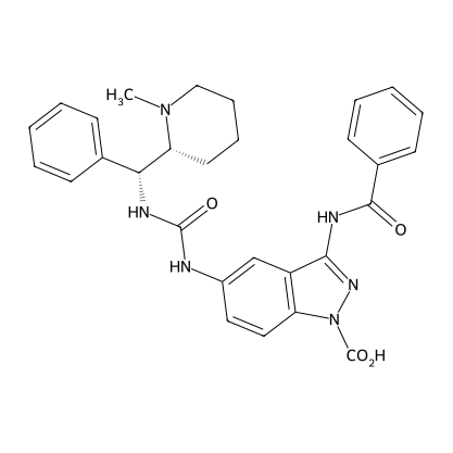 CN1CCCC[C@@H]1[C@H](NC(=O)Nc1ccc2c(c1)c(NC(=O)c1ccccc1)nn2C(=O)O)c1ccccc1